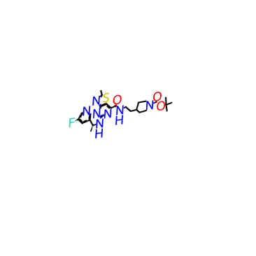 Cc1nc2nc(N[C@@H](C)c3cncc(F)c3)nc(C(=O)NCCC3CCN(C(=O)OC(C)(C)C)CC3)c2s1